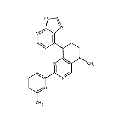 Cc1cccc(-c2ncc3c(n2)N(c2ccnc4[nH]cnc24)CCN3C)n1